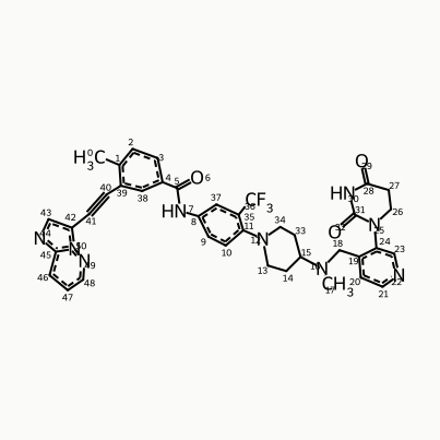 Cc1ccc(C(=O)Nc2ccc(N3CCC(N(C)Cc4ccncc4N4CCC(=O)NC4=O)CC3)c(C(F)(F)F)c2)cc1C#Cc1cnc2cccnn12